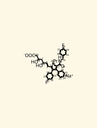 CC(C)n1c(C=C[C@@H](O)C[C@@H](O)CC(=O)[O-])c(-c2ccc(F)cc2)c(-c2ccccc2)c1C(=O)NCc1ccc(F)cc1.[Na+]